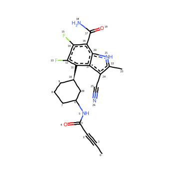 CC#CC(=O)NC1CCC[C@@H](c2c(F)c(F)c(C(N)=O)c3[nH]c(C)c(C#N)c23)C1